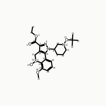 CCOC(=O)c1nn(C2CCCN(OC(C)(C)C)C2)c2c1C[S+]([O-])c1c(OC)cccc1-2